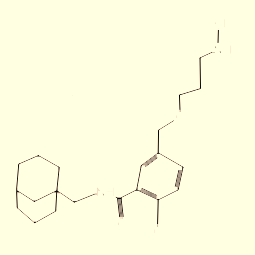 CNCCCOCc1ccc(Cl)c(C(=O)NCC23CCCC(CCC2)C3)c1.[CH2]